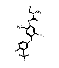 CCN(C)C(=O)Nc1cc(C)c(Oc2ccc(F)c(C(F)(F)F)c2)cc1C